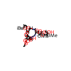 C=CCOC(=O)O[C@@H]1C(C)=C[C@H]2C(=O)O[C@H]3C[C@@H](C/C=C(\C)[C@@H](O[C@H]4C[C@H](OC)[C@@H](O[C@H]5C[C@H](OC)[C@@H](O)[C@H](C)O5)[C@H](C)O4)[C@@H](C)/C=C/C=C4\CO[C@H]1[C@@]42O)OC1(C=C[C@H](C)[C@@H]([C@@H](C)CC)O1)C3